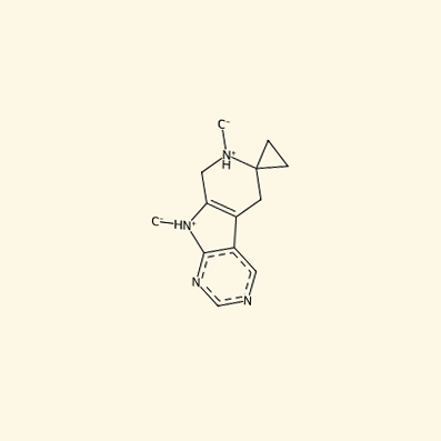 [CH2-][NH+]1C2=C(CC3(CC3)[NH+]([CH2-])C2)c2cncnc21